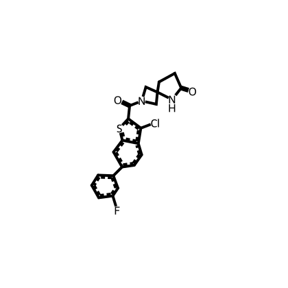 O=C1CCC2(CN(C(=O)c3sc4cc(-c5cccc(F)c5)ccc4c3Cl)C2)N1